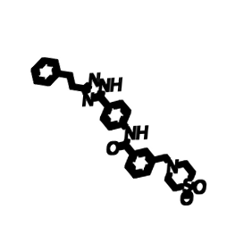 O=C(Nc1ccc(-c2nc(CCc3ccccc3)n[nH]2)cc1)c1cccc(CN2CCS(=O)(=O)CC2)c1